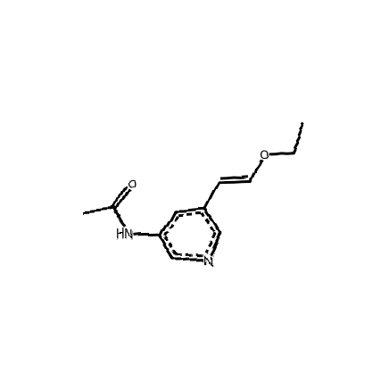 CCOC=Cc1cncc(NC(C)=O)c1